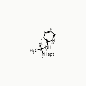 CCCCCCCC(C)(CC)Nc1ncccn1